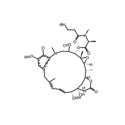 COc1cc2cc(c1Cl)N(C)CC(C=O)[C@H](OC(=O)[C@H](C)N(C)C(=O)CCC(C)(C)C)[C@]1(C)O[C@H]1[C@H](C)[C@@H]1C[C@@](O)(NC(=O)O1)[C@H](OC)/C=C/C=C(\C)C2